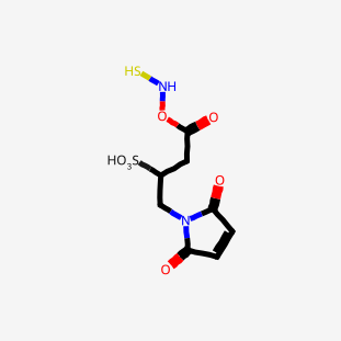 O=C(CC(CN1C(=O)C=CC1=O)S(=O)(=O)O)ONS